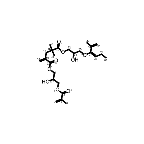 C=C(C)C(=O)OCC(O)COC(=O)C(=C)CC(C)(C)C(=O)OCC(O)CO/C(=C/CC)C(=C)C